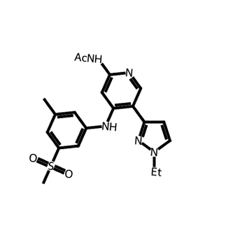 CCn1ccc(-c2cnc(NC(C)=O)cc2Nc2cc(C)cc(S(C)(=O)=O)c2)n1